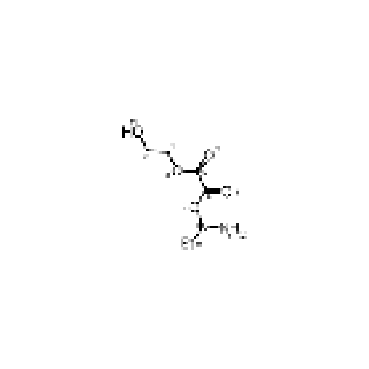 CCN(N)OC(=O)C(=O)OCCO